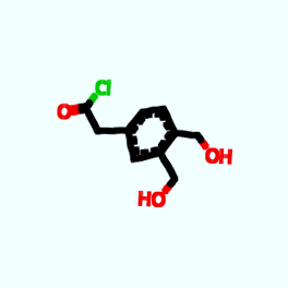 O=C(Cl)Cc1ccc(CO)c(CO)c1